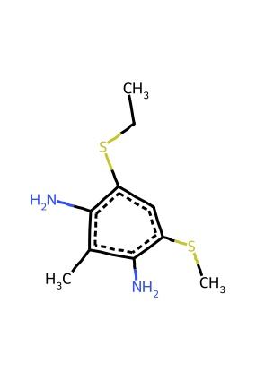 CCSc1cc(SC)c(N)c(C)c1N